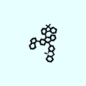 CN1c2ccccc2Cc2ccc(-c3c4ccccc4c(-c4cccc5c4-c4ccccc4C5(C)C)c4cc(-c5cccc6ccccc56)ccc34)cc21